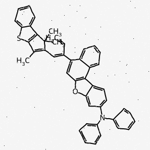 C=C/C(=C\C1=C(C)c2sc3ccccc3c2C1(C)C)c1cc2oc3cc(N(c4ccccc4)c4ccccc4)ccc3c2c2ccccc12